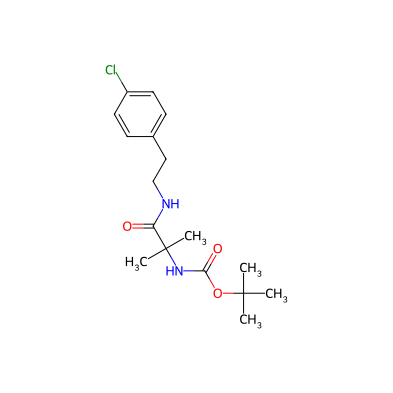 CC(C)(C)OC(=O)NC(C)(C)C(=O)NCCc1ccc(Cl)cc1